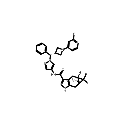 C[C@@]12Cc3[nH]nc(C(=O)Nc4cnn([C@H](c5ccccc5)C5CN(c6ccnc(F)c6)C5)c4)c3C[C@@H]1C2(F)F